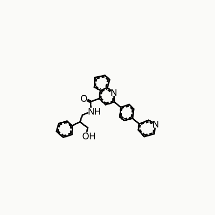 O=C(NCC(CO)c1ccccc1)c1cc(-c2ccc(-c3cccnc3)cc2)nc2ccccc12